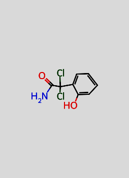 NC(=O)C(Cl)(Cl)c1ccccc1O